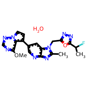 COc1ncnn2ccc(-c3cnc4nc(C)n(Cc5nnc(C(C)F)o5)c4c3)c12.O